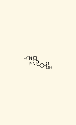 CCCC(NC(=O)Cc1ccc(C(=O)O)cc1)c1ccccc1N1CCC(C)CC1